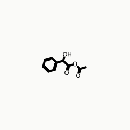 CC(=O)OC(=O)C(O)c1ccccc1